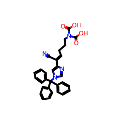 N#CC(=CCCCN(C(=O)O)C(=O)O)c1cn(C(c2ccccc2)(c2ccccc2)c2ccccc2)cn1